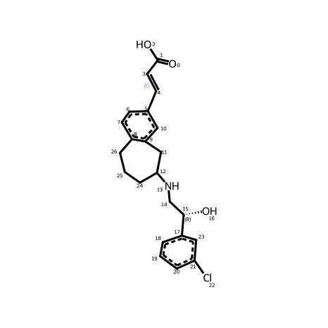 O=C(O)/C=C/c1ccc2c(c1)CC(NC[C@H](O)c1cccc(Cl)c1)CCC2